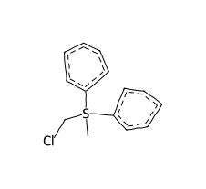 CS(CCl)(c1ccccc1)c1ccccc1